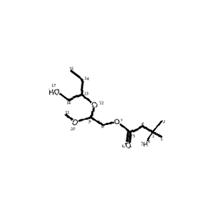 [2H]C(C)(C)CC(=O)OCC(OC)OC(CC)CO